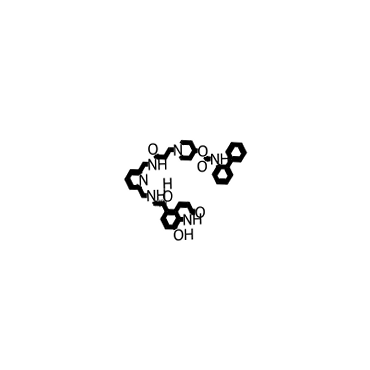 O=C(CCN1CCC(OC(=O)Nc2ccccc2-c2ccccc2)CC1)NCc1cccc(CNC[C@H](O)c2ccc(O)c3[nH]c(=O)ccc23)n1